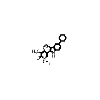 Cc1c(-c2[nH]c3ccc(C4C[CH]CCC4)cc3c2C(C)C)cn(C)c(=O)c1C